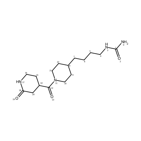 NC(=O)NCCCCC1CCN(C(=O)C2CCNC(=O)C2)CC1